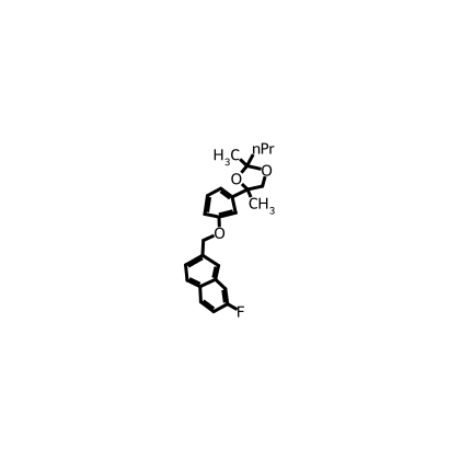 CCCC1(C)OCC(C)(c2cccc(OCc3ccc4ccc(F)cc4c3)c2)O1